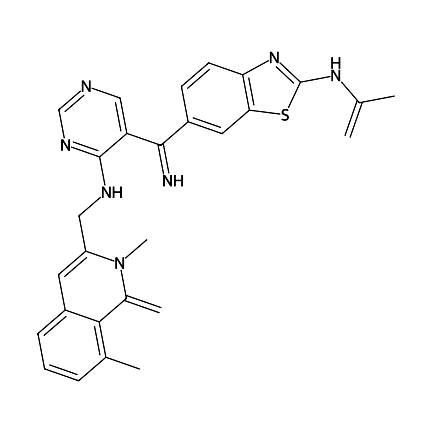 C=C(C)Nc1nc2ccc(C(=N)c3cncnc3NCC3=Cc4cccc(C)c4C(=C)N3C)cc2s1